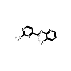 C[C@@H](Oc1ncccc1C(F)(F)F)c1ccnc(N)n1